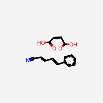 N#CC=CC=Cc1ccccc1.O=C(O)/C=C\C(=O)O